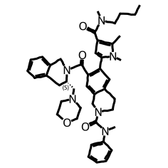 CCCCN(C)C(=O)c1cc(-c2cc3c(cc2C(=O)N2Cc4ccccc4C[C@H]2CN2CCOCC2)CN(C(=O)N(C)c2ccccc2)CC3)n(C)c1C